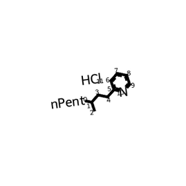 CCCCCC(C)CCc1ccccn1.Cl